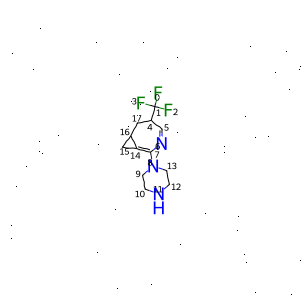 FC(F)(F)C1C=NC(N2CCNCC2)=C2CC2C1